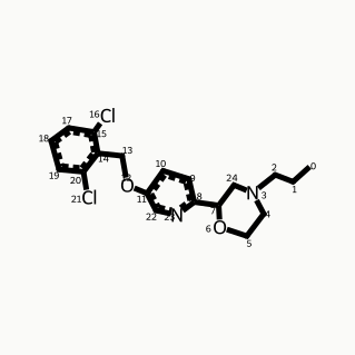 CCCN1CCOC(c2ccc(OCc3c(Cl)cccc3Cl)cn2)C1